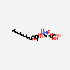 CC(C)=CCC/C(C)=C/CC/C(C)=C/CC[C@]1(C)CCc2cc(OC(=O)Nc3ccn(C4OC(CO)[C@@H](O)C4(F)F)c(=O)n3)cc(C)c2O1